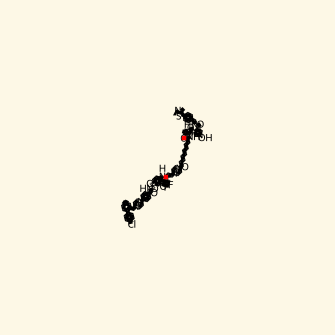 Cc1ncsc1-c1ccc(CNC(=O)[C@@H]2C[C@@H](O)CN2C(=O)[C@@H](NC(=O)CCCCCCCCC(=O)N2CCN(CCCNc3ccc(S(=O)(=O)NC(=O)c4ccc(N5CCN(CC6=C(c7ccc(Cl)cc7)CCC(C)(C)C6)CC5)cc4)cc3S(=O)(=O)C(F)(F)F)CC2)C(C)(C)C)cc1